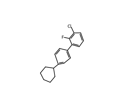 Fc1c(Cl)cccc1-c1ccc(C2CCCCC2)cc1